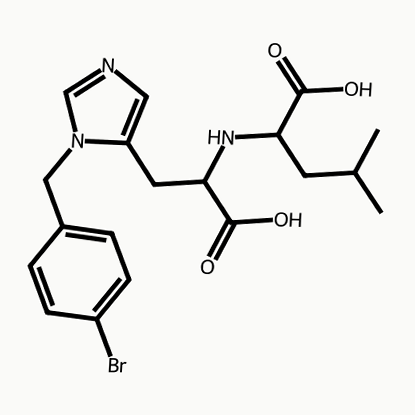 CC(C)CC(NC(Cc1cncn1Cc1ccc(Br)cc1)C(=O)O)C(=O)O